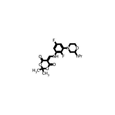 CCCC1CN(c2cc(F)cc(NC=C3C(=O)OC(C)(C)OC3=O)c2F)CCO1